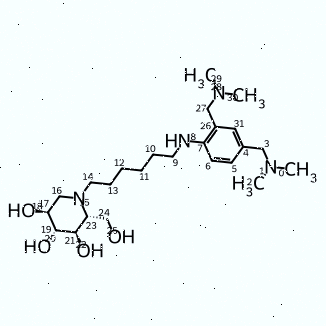 CN(C)Cc1ccc(NCCCCCCN2C[C@H](O)[C@@H](O)[C@H](O)[C@H]2CO)c(CN(C)C)c1